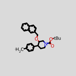 [CH2]c1ccc(C2CCN(C(=O)OC(C)(C)C)CC2OCc2ccc3ccccc3c2)cc1